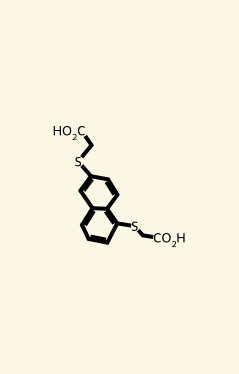 O=C(O)CSc1ccc2c(SCC(=O)O)cccc2c1